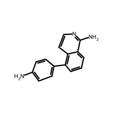 Nc1ccc(-c2cccc3c(N)nccc23)cc1